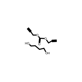 C#CCOC(=O)OCC#C.OCCCCO